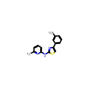 O=[N+]([O-])c1cccc(-c2csc(Nc3cccc(C(F)(F)F)n3)n2)c1